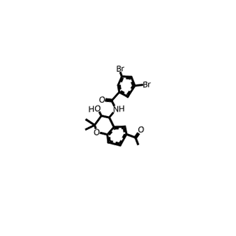 CC(=O)c1ccc2c(c1)C(NC(=O)c1cc(Br)cc(Br)c1)C(O)C(C)(C)O2